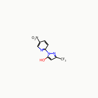 O=[N+]([O-])c1ccc(-n2nc(C(F)(F)F)cc2O)nc1